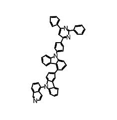 c1ccc(-c2cc(-c3ccc(-n4c5ccccc5c5c(-c6ccc7c(c6)c6ccccc6n7-c6cccc7cnccc67)cccc54)cc3)nc(-c3ccccc3)n2)cc1